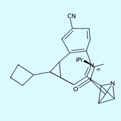 CC(C)[C@@H](C)C(=O)C12C3C(C4=Nc5ccc(C#N)cc5C5C6C4C56C4CCC4)N1C32